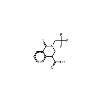 O=C(O)C1CN(CC(F)(F)F)C(=O)c2ccccc21